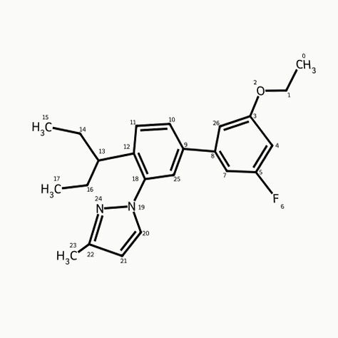 CCOc1cc(F)cc(-c2ccc(C(CC)CC)c(-n3ccc(C)n3)c2)c1